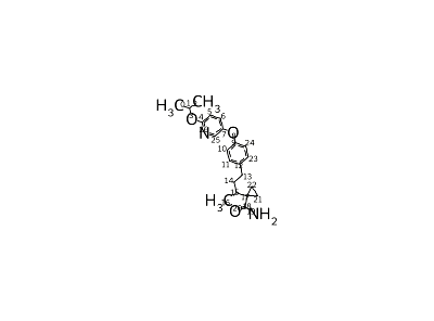 CC(C)Oc1ccc(Oc2ccc(CC[C@H](C)C3(C(N)=O)CC3)cc2)cn1